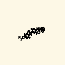 Cc1cc(NC(=O)c2ccnn2C)c(F)cc1-c1ncc2nc(C(F)(F)F)cc(C)c2n1